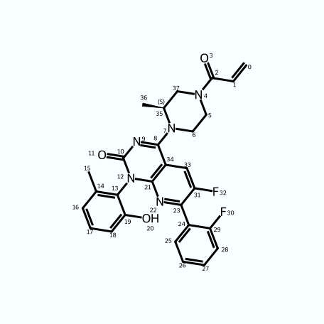 C=CC(=O)N1CCN(c2nc(=O)n(-c3c(C)cccc3O)c3nc(-c4ccccc4F)c(F)cc23)[C@@H](C)C1